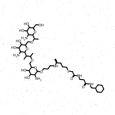 C=C(CCCSCC(=O)NCCC(=O)NCC1CCCCC1)NCCCOC1OC(COC(C)C(I)C2OC(COC(C)C3OC(CO)C(O)C(O)C3N)C(O)C(O)C2N)C(O)C(O)C1N